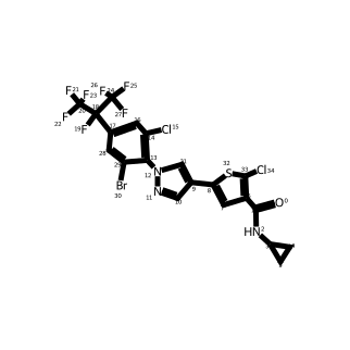 O=C(NC1CC1)c1cc(-c2cnn(-c3c(Cl)cc(C(F)(C(F)(F)F)C(F)(F)F)cc3Br)c2)sc1Cl